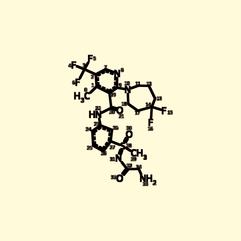 Cc1c(C(F)(F)F)cnc(N2CCCC(F)(F)CC2)c1C(=O)Nc1cccc(S(C)(=O)=NC(=O)CN)c1